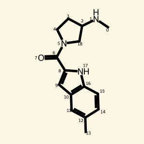 CNC1CCN(C(=O)c2cc3cc(C)ccc3[nH]2)C1